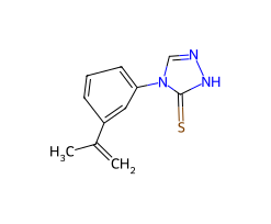 C=C(C)c1cccc(-n2cn[nH]c2=S)c1